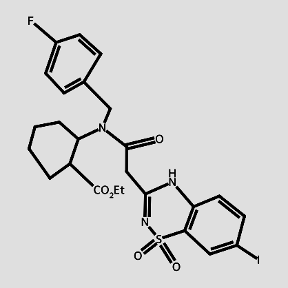 CCOC(=O)C1CCCCC1N(Cc1ccc(F)cc1)C(=O)CC1=NS(=O)(=O)c2cc(I)ccc2N1